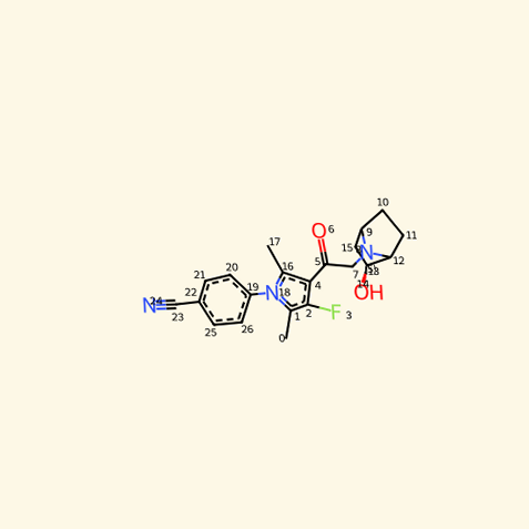 Cc1c(F)c(C(=O)CN2C3CCC2[C@@H](O)C3)c(C)n1-c1ccc(C#N)cc1